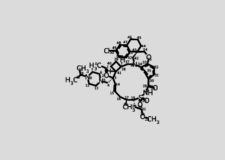 CCO[C@]1(CN2CCN(C(C)C)CC2)/C=C/C[C@H](C)[C@@H](CCOC)S(=O)(=O)NC(=O)c2ccc3c(c2)N(C[C@@H]2CC[C@H]21)C[C@@]1(CCCc2cc(Cl)ccc21)CO3